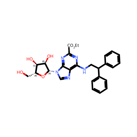 CCOC(=O)c1nc(NCC(c2ccccc2)c2ccccc2)c2ncn([C@@H]3O[C@H](CO)[C@@H](O)[C@H]3O)c2n1